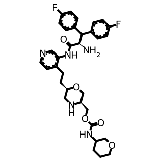 N[C@H](C(=O)Nc1cnccc1CC[C@@H]1CN[C@H](COC(=O)NC2CCCOC2)CO1)C(c1ccc(F)cc1)c1ccc(F)cc1